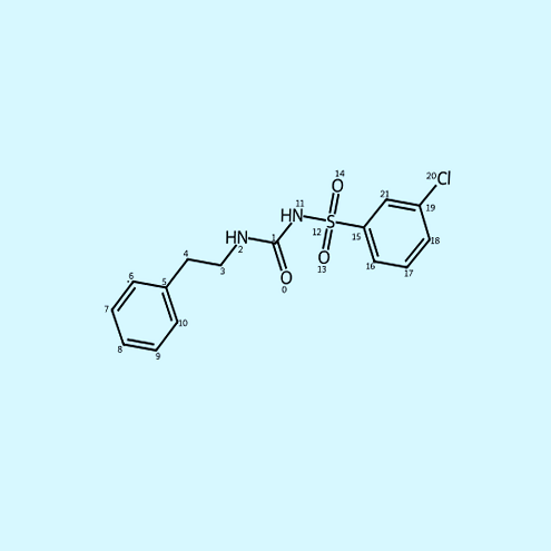 O=C(NCCc1[c]cccc1)NS(=O)(=O)c1cccc(Cl)c1